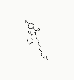 NCCCCCCCCN(C(=O)c1ccc(F)cc1)C(=O)c1ccc(F)cc1